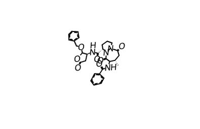 C[C@H]1CC(=O)N2CCC[C@@H](C(=O)N[C@H]3CC(=O)OC3OCc3ccccc3)N2C(=O)C1NC(=O)c1ccccc1